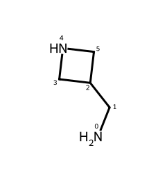 NCC1CNC1